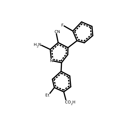 CCc1cc(-c2cc(-c3ccccc3F)c(C#N)c(N)n2)ccc1C(=O)O